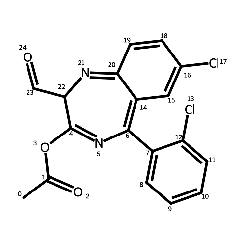 CC(=O)OC1=NC(c2ccccc2Cl)=c2cc(Cl)ccc2=NC1C=O